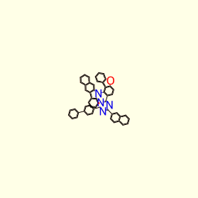 c1ccc(-c2ccc(-c3nc(-c4ccc5ccccc5c4)nc(-c4ccc5oc6ccccc6c5c4-n4c5ccccc5c5cc6ccccc6cc54)n3)cc2)cc1